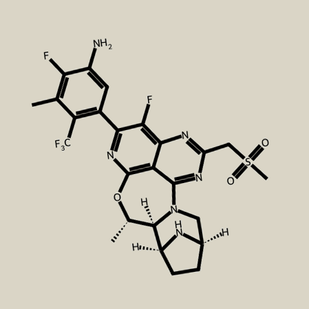 Cc1c(F)c(N)cc(-c2nc3c4c(nc(CS(C)(=O)=O)nc4c2F)N2C[C@H]4CC[C@H](N4)[C@H]2[C@H](C)O3)c1C(F)(F)F